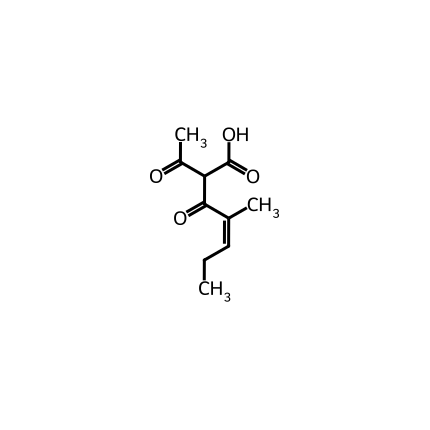 CCC=C(C)C(=O)C(C(C)=O)C(=O)O